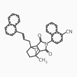 CC12CCC(CC=Cc3cccc4ccccc34)(O1)C1C(=O)N(c3ccc(C#N)c4ccccc34)C(=O)C12